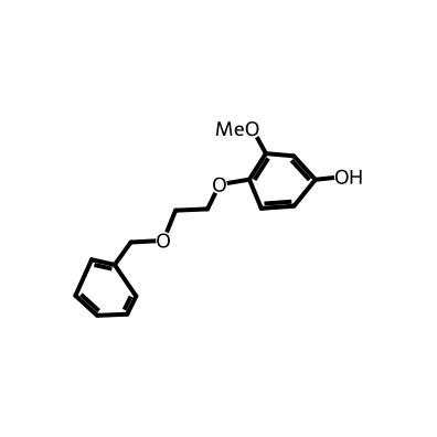 COc1cc(O)ccc1OCCOCc1ccccc1